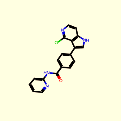 O=C(Nc1ccccn1)c1ccc(-c2c[nH]c3ccnc(Cl)c23)cc1